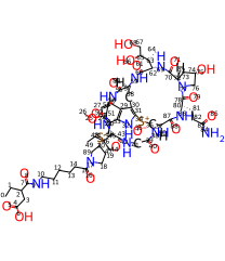 CCC(CC(=O)O)C(=O)NCCCCCC(=O)N1CC[C@H](SCc2c(OC)ccc3c4c([nH]c23)[S+]([O-])C[C@@H]2NC(=O)CNC(=O)[C@H]([C@@H](C)CC)NC(=O)CNC(=O)[C@H](C4)NC(=O)[C@H]([C@@H](C)[C@@H](O)CO)NC(=O)[C@@H]3C[C@@H](O)CN3C(=O)[C@H](CCC(N)=O)NC2=O)C1